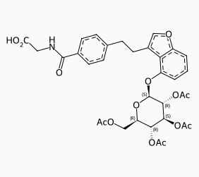 CC(=O)OC[C@H]1O[C@@H](Oc2cccc3occ(CCc4ccc(C(=O)NCC(=O)O)cc4)c23)[C@H](OC(C)=O)[C@@H](OC(C)=O)[C@@H]1OC(C)=O